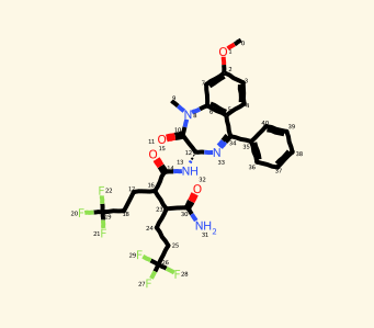 COc1ccc2c(c1)N(C)C(=O)[C@@H](NC(=O)C(CCC(F)(F)F)C(CCC(F)(F)F)C(N)=O)N=C2c1ccccc1